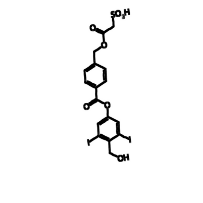 O=C(CS(=O)(=O)O)OCc1ccc(C(=O)Oc2cc(I)c(CO)c(I)c2)cc1